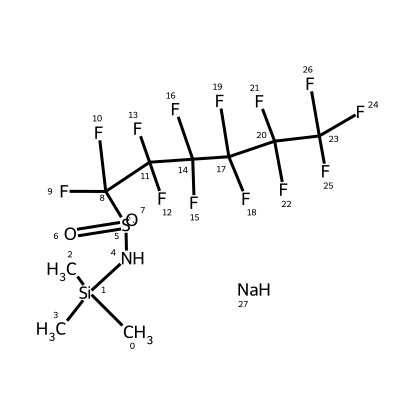 C[Si](C)(C)NS(=O)(=O)C(F)(F)C(F)(F)C(F)(F)C(F)(F)C(F)(F)C(F)(F)F.[NaH]